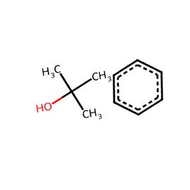 CC(C)(C)O.c1ccccc1